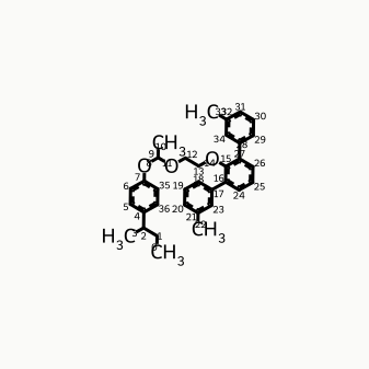 CCC(C)c1ccc(OC(C)OCCOc2c(-c3cccc(C)c3)cccc2-c2cccc(C)c2)cc1